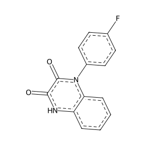 O=c1[nH]c2ccccc2n(-c2ccc(F)cc2)c1=O